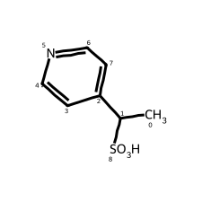 CC(c1c[c]ncc1)S(=O)(=O)O